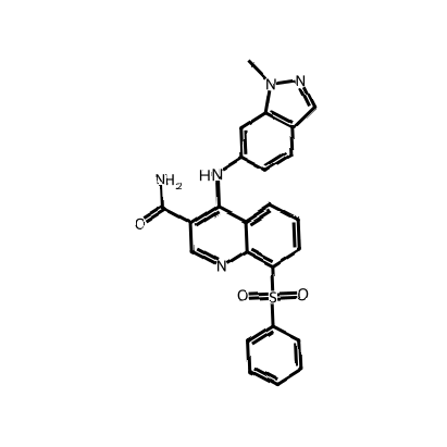 Cn1ncc2ccc(Nc3c(C(N)=O)cnc4c(S(=O)(=O)c5ccccc5)cccc34)cc21